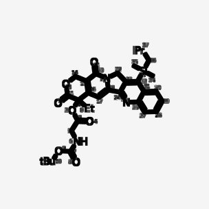 CCC1(OC(=O)CNC(=O)OC(C)(C)C)C(=O)OCc2c1cc1n(c2=O)Cc2c-1nc1ccccc1c2[Si](C)(C)CC(C)C